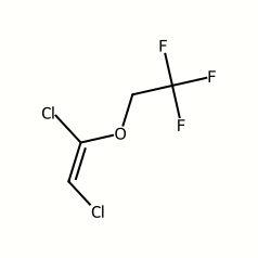 FC(F)(F)CO/C(Cl)=C\Cl